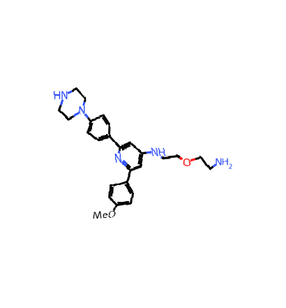 COc1ccc(-c2cc(NCCOCCN)cc(-c3ccc(N4CCNCC4)cc3)n2)cc1